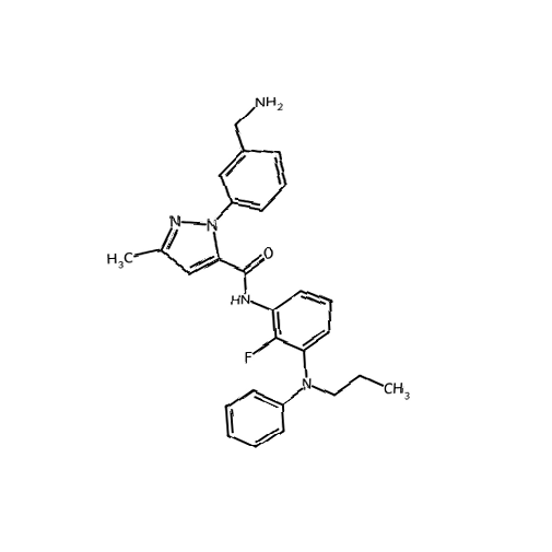 CCCN(c1ccccc1)c1cccc(NC(=O)c2cc(C)nn2-c2cccc(CN)c2)c1F